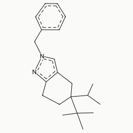 CC(C)C1(C(C)(C)C)CCc2nn(Cc3ccccc3)cc2C1